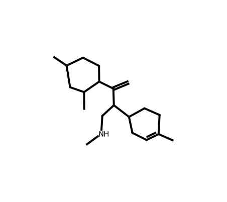 C=C(C1CCC(C)CC1C)C(CNC)C1CC=C(C)CC1